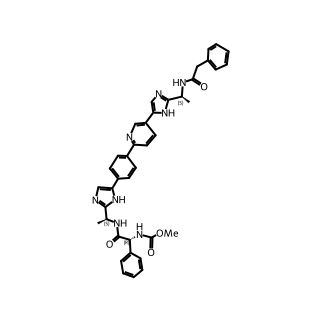 COC(=O)N[C@@H](C(=O)N[C@@H](C)c1ncc(-c2ccc(-c3ccc(-c4cnc([C@H](C)NC(=O)Cc5ccccc5)[nH]4)cn3)cc2)[nH]1)c1ccccc1